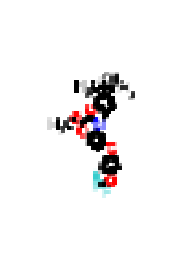 COC(=O)C(=O)N(Cc1ccc(C(C)(C)C)cc1)c1cccc(Oc2ccc(OC(F)(F)F)cc2)c1